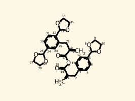 C=C(Cc1ccc(C2OCCO2)cc1)C(=O)OC(=O)C(=C)Cc1cc(C2OCCO2)ccc1C1OCCO1